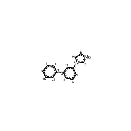 c1ccc(-c2cccc(-n3ccnc3)c2)cc1